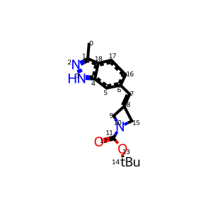 Cc1n[nH]c2cc(C=C3CN(C(=O)OC(C)(C)C)C3)ccc12